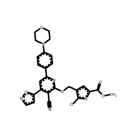 COC(=O)c1cc(COc2nc(-c3ccc(N4CCOCC4)cc3)cc(-c3ccno3)c2C#N)c(Cl)s1